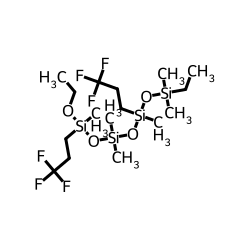 CCO[Si](C)(CCC(F)(F)F)O[Si](C)(C)O[Si](C)(CCC(F)(F)F)O[Si](C)(C)CC